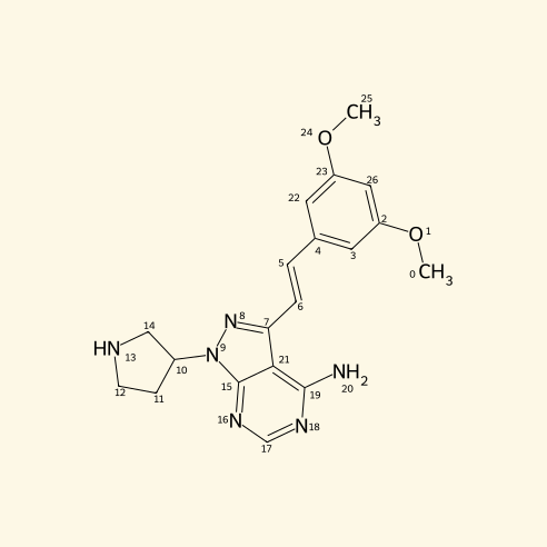 COc1cc(C=Cc2nn(C3CCNC3)c3ncnc(N)c23)cc(OC)c1